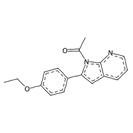 CCOc1ccc(-c2cc3cccnc3n2C(C)=O)cc1